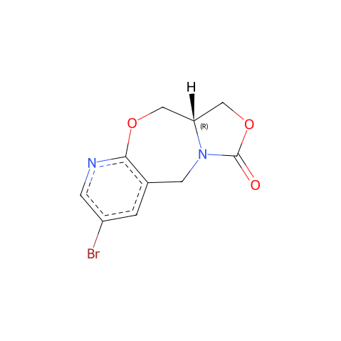 O=C1OC[C@H]2COc3ncc(Br)cc3CN12